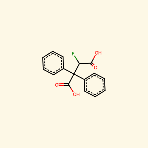 O=C(O)C(F)C(C(=O)O)(c1ccccc1)c1ccccc1